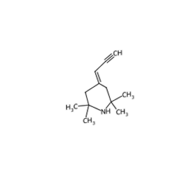 C#CC=C1CC(C)(C)NC(C)(C)C1